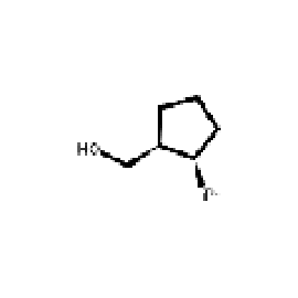 CC(C)[C@@H]1CCC[C@@H]1CO